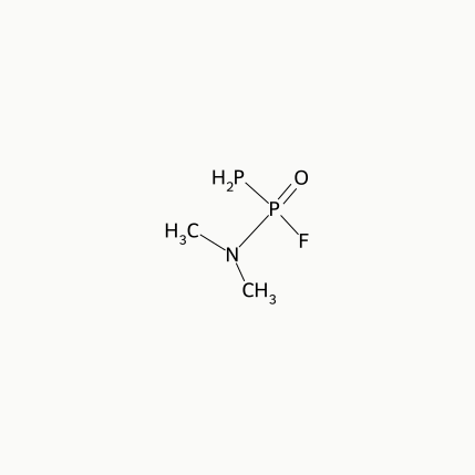 CN(C)P(=O)(F)P